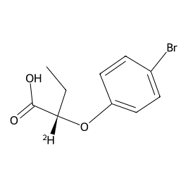 [2H][C@@](CC)(Oc1ccc(Br)cc1)C(=O)O